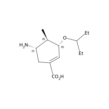 CCC(CC)O[C@@H]1C=C(C(=O)O)C[C@H](N)[C@H]1C